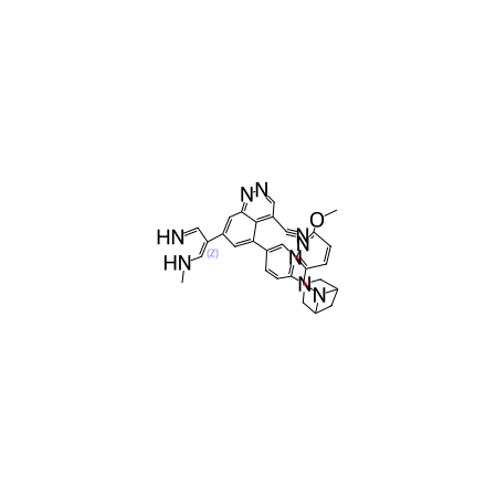 CN/C=C(\C=N)c1cc(-c2ccc(N3CC4CC(C3)N4Cc3ccc(OC)nc3)nc2)c2c(C#N)cnnc2c1